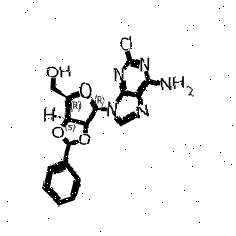 Nc1nc(Cl)nc2c1ncn2[C@@H]1O[C@H](CO)[C@@H]2OC(c3ccccc3)OC21